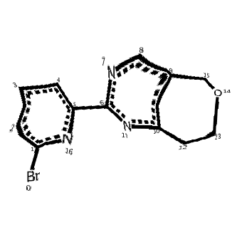 Brc1cccc(-c2ncc3c(n2)CCOC3)n1